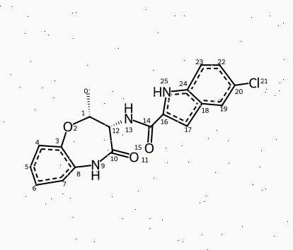 C[C@H]1Oc2ccccc2NC(=O)[C@H]1NC(=O)c1cc2cc(Cl)ccc2[nH]1